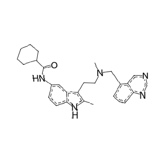 Cc1[nH]c2ccc(NC(=O)C3CCCCC3)cc2c1CCN(C)Cc1cccc2ncncc12